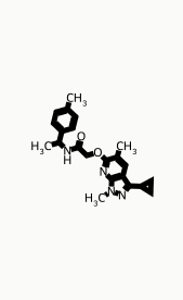 Cc1ccc(C(C)NC(=O)COc2nc3c(cc2C)c(C2CC2)nn3C)cc1